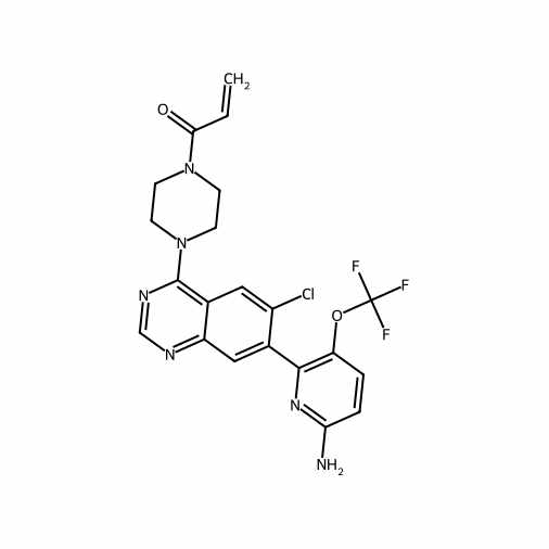 C=CC(=O)N1CCN(c2ncnc3cc(-c4nc(N)ccc4OC(F)(F)F)c(Cl)cc23)CC1